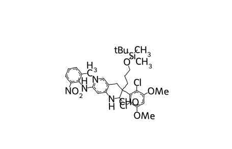 COc1cc(OC)c(Cl)c(C2(CCCO[Si](C)(C)C(C)(C)C)Cc3cnc(Nc4c(C)cccc4[N+](=O)[O-])cc3NC2C=O)c1Cl